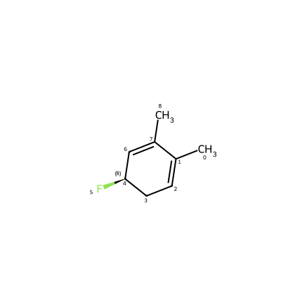 CC1=CC[C@@H](F)C=C1C